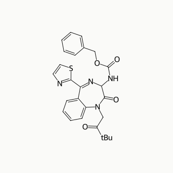 CC(C)(C)C(=O)CN1C(=O)C(NC(=O)OCc2ccccc2)N=C(c2nccs2)c2ccccc21